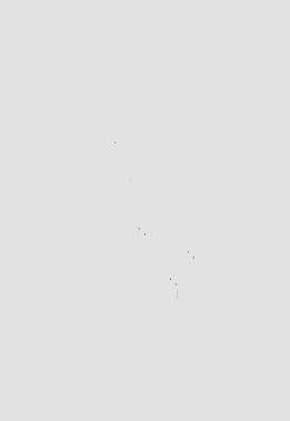 O=c1c2nc[nH]c2ccn1-c1ccc(OC(F)(F)F)cc1